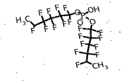 CC(F)C(F)(F)C(F)(F)C(F)(F)C(F)(F)OP(=O)(O)OC(F)(F)C(F)(F)C(F)(F)C(F)(F)C(C)F